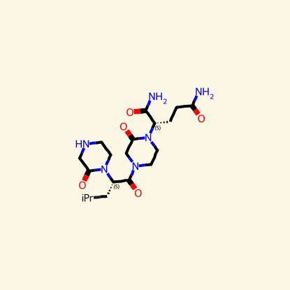 CC(C)C[C@@H](C(=O)N1CCN([C@@H](CCC(N)=O)C(N)=O)C(=O)C1)N1CCNCC1=O